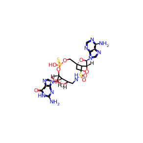 CO[C@H]1[C@H]2O[P@](O)(=S)OC[C@]34C[C@@]5(O[C@H](C35)[C@H](n3cnc5c(N)ncnc53)O4)S(=O)(=O)NC[C@H]1O[C@H]2n1cnc2c(=O)[nH]c(N)nc21